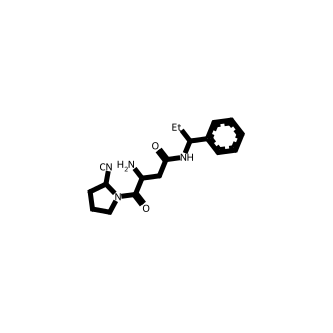 CCC(NC(=O)CC(N)C(=O)N1CCCC1C#N)c1ccccc1